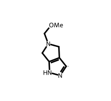 COCN1Cc2[c]n[nH]c2C1